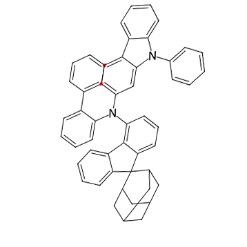 c1ccc(-c2ccccc2N(c2ccc3c4ccccc4n(-c4ccccc4)c3c2)c2cccc3c2-c2ccccc2C32C3CC4CC(C3)CC2C4)cc1